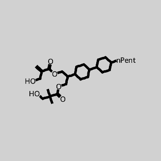 C=C(CO)C(=O)OCC(COC(=O)C(C)(C)CO)C1CCC(C2CCC(CCCCC)CC2)CC1